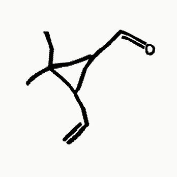 C=CC1C(C=O)C1(C)C